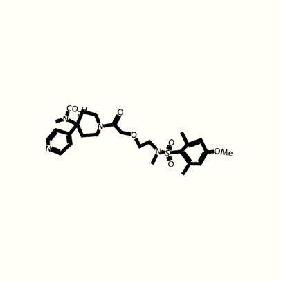 COc1cc(C)c(S(=O)(=O)N(C)CCOCC(=O)N2CCC(c3ccncc3)(N(C)C(=O)O)CC2)c(C)c1